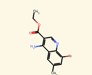 CCOC(=O)c1cnc2c(Br)cc(C)cc2c1N